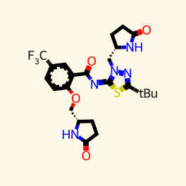 CC(C)(C)c1nn(C[C@@H]2CCC(=O)N2)c(=NC(=O)c2cc(C(F)(F)F)ccc2OC[C@@H]2CCC(=O)N2)s1